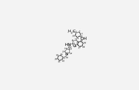 Cc1ccc(O)c(C(CC(=O)NC2C3CN(Cc4ccccc4)CC32)c2ccccc2)c1